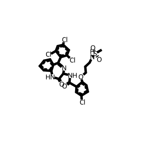 CS(=O)(=O)NCCCOc1ccc(Cl)cc1C(=O)NC1N=C(c2c(Cl)cc(Cl)cc2Cl)c2ccccc2NC1=O